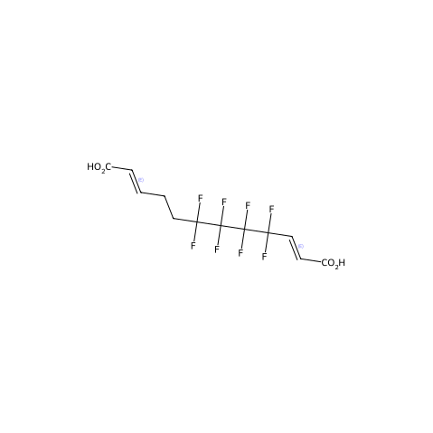 O=C(O)/C=C/CCC(F)(F)C(F)(F)C(F)(F)C(F)(F)/C=C/C(=O)O